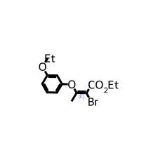 CCOC(=O)/C(Br)=C(/C)Oc1cccc(OCC)c1